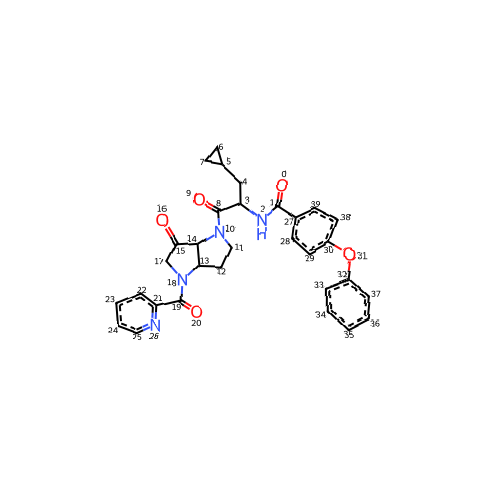 O=C(NC(CC1CC1)C(=O)N1CCC2C1C(=O)CN2C(=O)c1ccccn1)c1ccc(Oc2ccccc2)cc1